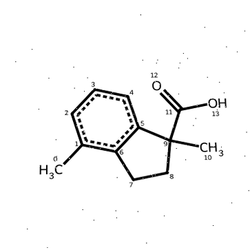 Cc1cccc2c1CCC2(C)C(=O)O